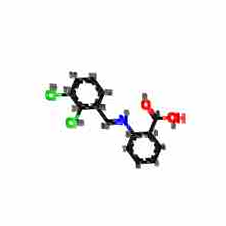 O=C(O)c1ccccc1N=Cc1cccc(Cl)c1Cl